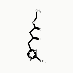 CCOC(=O)CC(=O)Cc1csc(C)n1